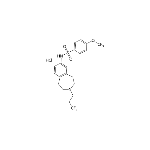 Cl.O=S(=O)(Nc1ccc2c(c1)CCN(CCC(F)(F)F)CC2)c1ccc(OC(F)(F)F)cc1